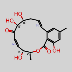 Cc1cc(O)c2c(c1)/C=C/C[C@H](O)[C@H](O)C(=O)/C=C\[C@H](O)[C@H](C)OC2=O